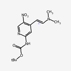 CN(C)/C=C/c1cc(NC(=O)OC(C)(C)C)ncc1[N+](=O)[O-]